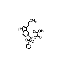 NCCc1c[nH]c2ccc(CS(=O)(=O)N3CCCC3)cc12.O=C(O)C(=O)O